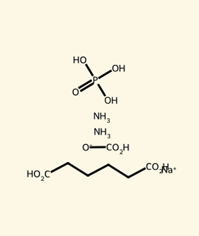 N.N.O=C(O)CCCCC(=O)O.O=C([O-])O.O=P(O)(O)O.[Na+]